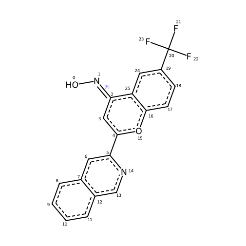 O/N=c1\cc(-c2cc3ccccc3cn2)oc2ccc(C(F)(F)F)cc12